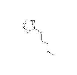 COCCOc1n[c]cs1